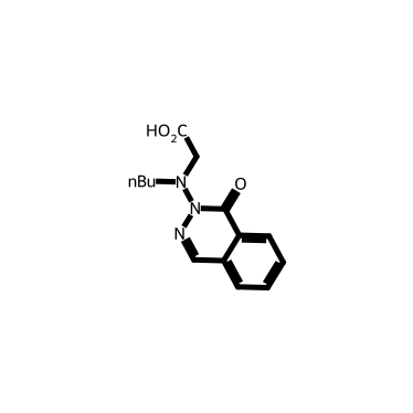 CCCCN(CC(=O)O)n1ncc2ccccc2c1=O